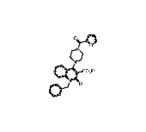 CCOC(=O)c1c(N2CCN(C(=O)c3ccco3)CC2)c2ccncc2n(Cc2ccccc2)c1=O